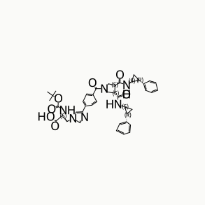 CC(C)(C)OC(=O)N[C@@H](Cn1cnc(-c2ccc(C(=O)N3C[C@@H](C(=O)N[C@H]4C[C@@H]4c4ccccc4)[C@H](C(=O)N[C@H]4C[C@@H]4c4ccccc4)C3)cc2)c1)C(=O)O